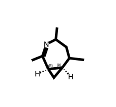 CC1=NC(C)CC(C)[C@H]2C[C@@H]12